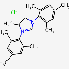 Cc1cc(C)c(N2C=[N+](c3c(C)cc(C)cc3C)C(C)C2)c(C)c1.[Cl-]